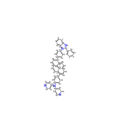 c1ccc(-c2nc3ccccc3n2-c2ccc(-c3ccc4ccc5c(-c6ccc(N(c7ccncc7)c7ccncc7)cc6)ccc6ccc3c4c65)cc2)cc1